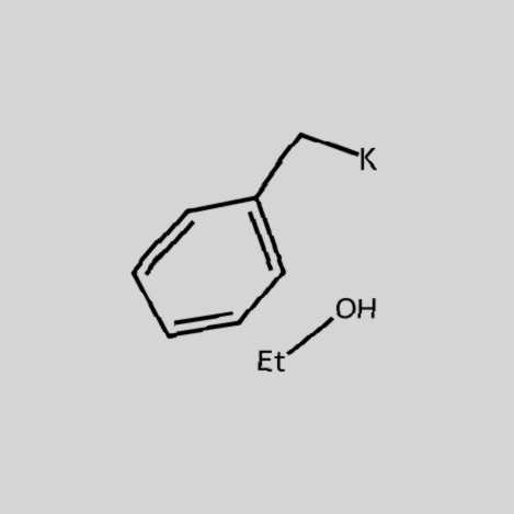 CCO.[K][CH2]c1ccccc1